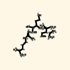 CCCN(C=O)C(CCO)C(=O)O.CSCCC(N)C(=O)O.N=C(N)NCCCC(N)C(=O)O.NCC(=O)O